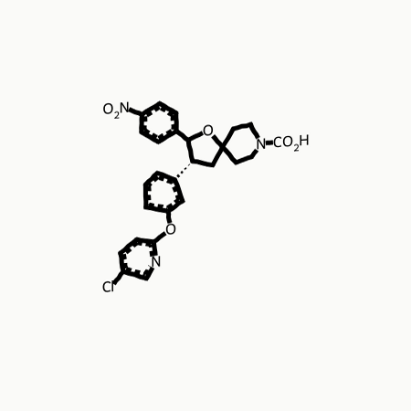 O=C(O)N1CCC2(CC1)C[C@H](c1cccc(Oc3ccc(Cl)cn3)c1)C(c1ccc([N+](=O)[O-])cc1)O2